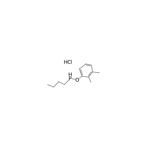 CCCCPOc1cccc(C)c1C.Cl